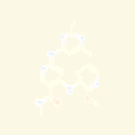 CNC(=O)c1cnc(Nc2cc(C)nc(C)n2)cc1Nc1cccnc1OC